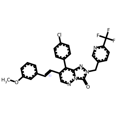 COc1cccc(/C=C/c2cnn3c(=O)n(Cc4ccc(C(F)(F)F)nc4)nc3c2-c2ccc(Cl)cc2)c1